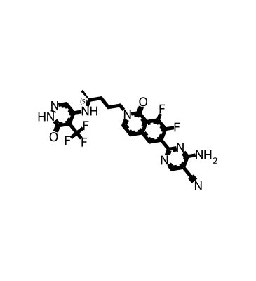 C[C@@H](CCCn1ccc2cc(-c3ncc(C#N)c(N)n3)c(F)c(F)c2c1=O)Nc1cn[nH]c(=O)c1C(F)(F)F